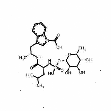 CC(C)C[C@H](NP(=O)(O)O[C@@H]1O[C@@H](C)[C@H](O)[C@@H](O)[C@H]1O)C(=O)N[C@H](C)Cc1cn(C(=O)O)c2ccccc12